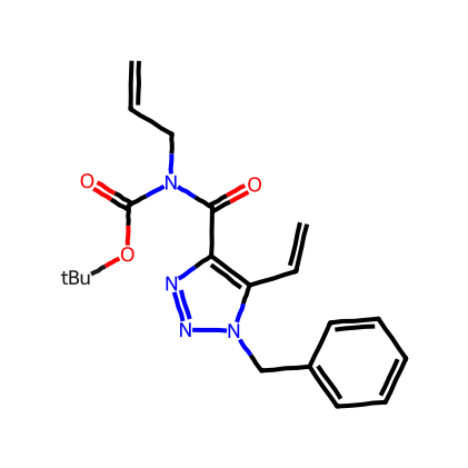 C=CCN(C(=O)OC(C)(C)C)C(=O)c1nnn(Cc2ccccc2)c1C=C